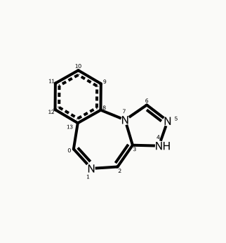 C1=NC=C2NN=CN2c2ccccc21